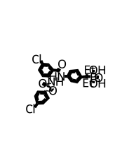 CCC(CC)(c1ccc(NC(=O)c2cc(Cl)ccc2NS(=O)(=O)c2ccc(Cl)cc2)cc1)P(=O)(O)O